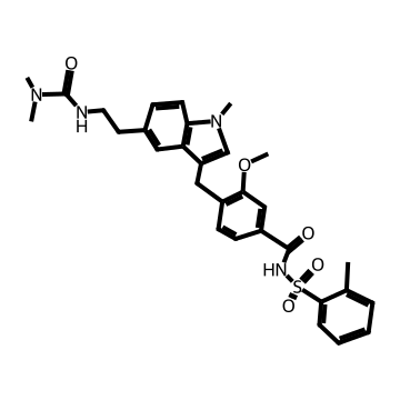 COc1cc(C(=O)NS(=O)(=O)c2ccccc2C)ccc1Cc1cn(C)c2ccc(CCNC(=O)N(C)C)cc12